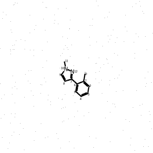 [CH2]c1ccccc1-c1ccn(C)n1